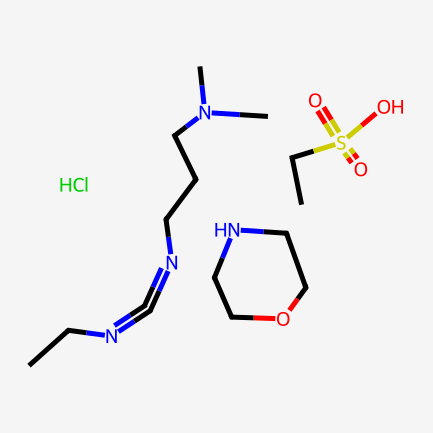 C1COCCN1.CCN=C=NCCCN(C)C.CCS(=O)(=O)O.Cl